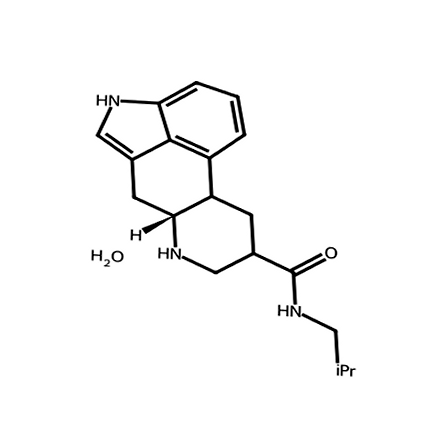 CC(C)CNC(=O)C1CN[C@@H]2Cc3c[nH]c4cccc(c34)C2C1.O